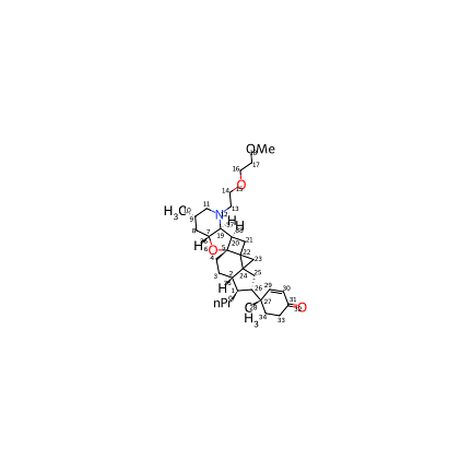 CCC[C@H]1[C@@H]2CC[C@@]34O[C@@H]5C[C@H](C)CN(CCOCCOC)[C@H]5[C@H]3CC43CC23C[C@@H]1[C@]1(C)C=CC(=O)CC1